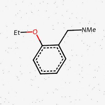 [CH2-][NH2+]Cc1ccccc1OCC